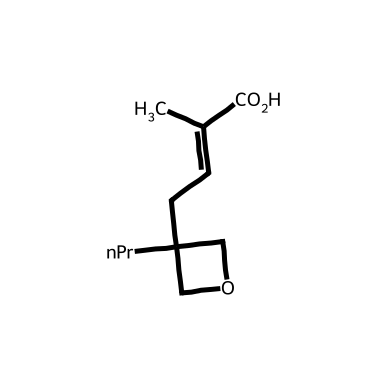 CCCC1(CC=C(C)C(=O)O)COC1